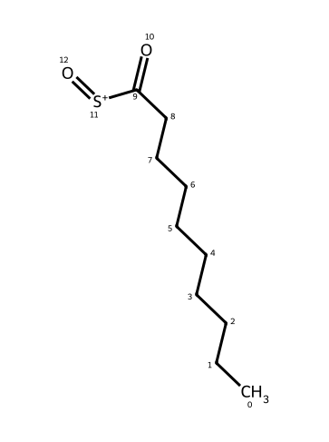 CCCCCCCCCC(=O)[S+]=O